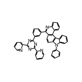 c1ccc(-n2c3ccccc3c3c4c(ccc32)c(-c2cccc(-c3nc(-c5ccccn5)nc(-c5ccccn5)n3)c2)nc2ccccc24)cc1